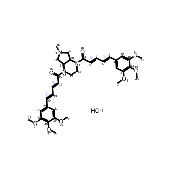 COc1cc(/C=C/C=C/C(=O)N2CCN(C(=O)/C=C/C=C/c3cc(OC)c(OC)c(OC)c3)C3CN(C)CC32)cc(OC)c1OC.Cl